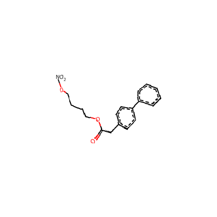 O=C(Cc1ccc(-c2ccccc2)cc1)OCCCCO[N+](=O)[O-]